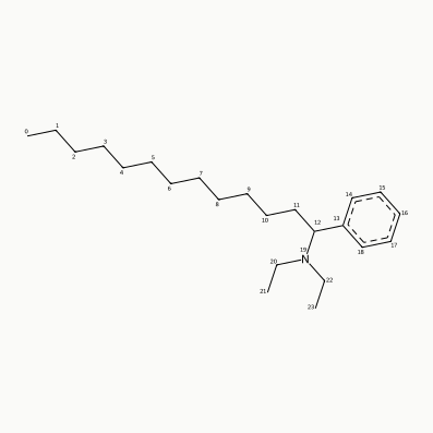 CCCCCCCCCCCCC(c1ccccc1)N(CC)CC